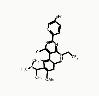 CCCc1ccc(-c2nc(Cl)c(C3=C(F)C(C(C)N(C)C)=C(OC)CC3F)c(NCC(F)(F)F)n2)nc1